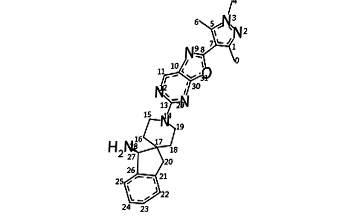 Cc1nn(C)c(C)c1-c1nc2cnc(N3CCC4(CC3)Cc3ccccc3[C@H]4N)nc2o1